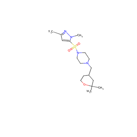 Cn1nc(C(F)(F)F)cc1S(=O)(=O)N1CCN(CC2CCOC(C)(C)C2)CC1